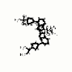 CCC1=Cc2c(-c3ccc(C(C)CC)cc3)cccc2[CH]1[Zr]([Cl])([Cl])([CH]1C=Cc2c(-c3ccc(C(C)(C)C)cc3)cccc21)[SiH](C)C